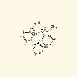 O.O.c1ccc(-c2ccccn2)nc1.c1ccc(-c2ccccn2)nc1